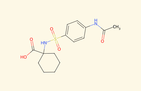 CC(=O)Nc1ccc(S(=O)(=O)NC2(C(=O)O)CCCCC2)cc1